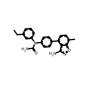 CCc1cccc(N(C(N)=O)c2ccc(-c3ccc(C)c4onc(N)c34)cc2)c1